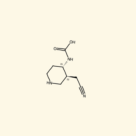 N#CC[C@H]1CNCC[C@@H]1NC(=O)O